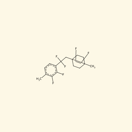 Cc1ccc(C(F)(F)CC23CCC(C)(CC2)C(F)=C3F)c(F)c1F